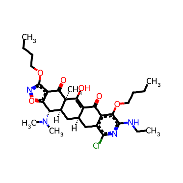 CCCCOc1noc2c1C(=O)[C@@]1(C)C(O)=C3C(=O)c4c(c(Cl)nc(NCC)c4OCCCC)C[C@H]3C[C@H]1[C@@H]2N(C)C